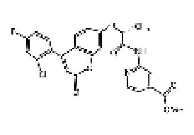 COC(=O)c1ccnc(NC(=O)[C@@H](C)Oc2ccc3c(-c4ccc(F)cc4Cl)cc(=O)oc3c2)c1